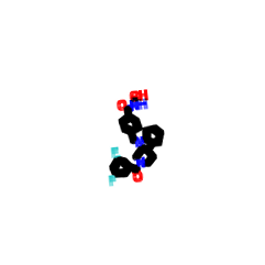 O=C(NO)c1ccc(Cn2c3c(c4ccccc42)CCN(C(=O)c2cc(F)cc(F)c2)C3)cc1